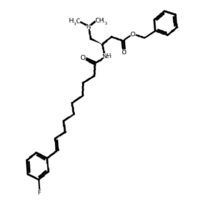 CN(C)C[C@@H](CC(=O)OCc1ccccc1)NC(=O)CCCCCCCC=Cc1cccc(F)c1